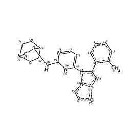 Cc1ccccc1-c1nc2occn2c1C1=CC=NC(NC2CN3CCC2CC3)N1